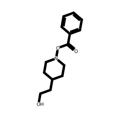 O=C(ON1CCC(CCO)CC1)c1ccccc1